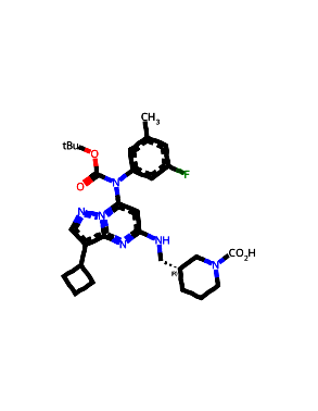 Cc1cc(F)cc(N(C(=O)OC(C)(C)C)c2cc(NC[C@H]3CCCN(C(=O)O)C3)nc3c(C4CCC4)cnn23)c1